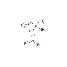 C=CC(C)(C)N.CCN(C(C)C)C(C)C